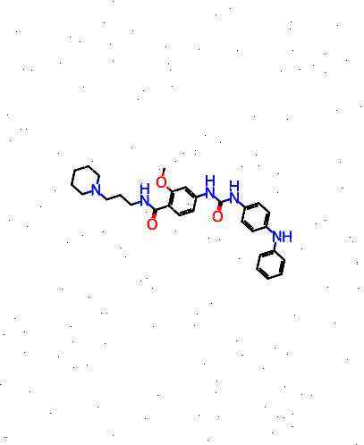 COc1cc(NC(=O)Nc2ccc(Nc3ccccc3)cc2)ccc1C(=O)NCCCN1CCCCC1